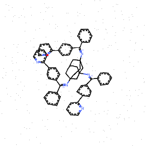 c1ccc(/C(=N/C23CC4CC(/N=C(/c5ccccc5)c5ccc(-c6ccccn6)cc5)(C2)CC(/N=C(/c2ccccc2)c2ccc(-c5ccccn5)cc2)(C4)C3)c2ccc(-c3ccccn3)cc2)cc1